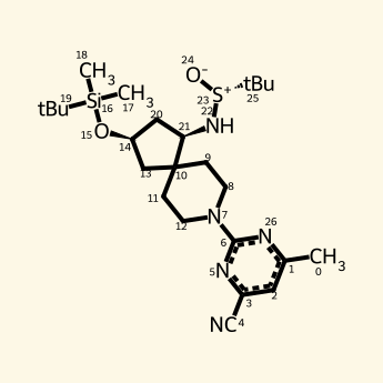 Cc1cc(C#N)nc(N2CCC3(CC2)C[C@@H](O[Si](C)(C)C(C)(C)C)C[C@H]3N[S@+]([O-])C(C)(C)C)n1